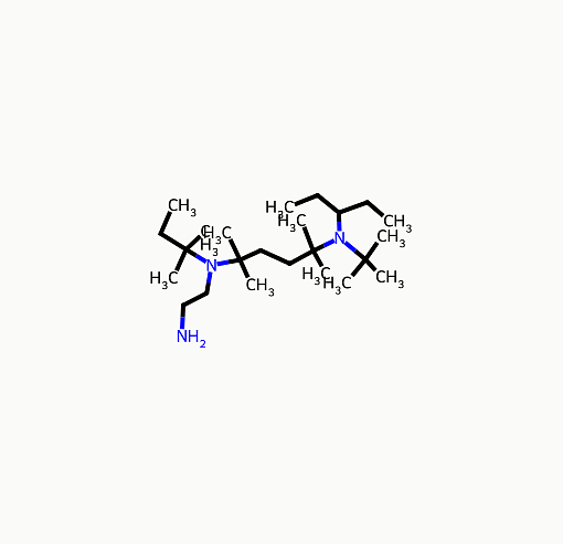 CCC(CC)N(C(C)(C)C)C(C)(C)CCC(C)(C)N(CCN)C(C)(C)CC